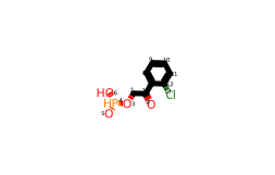 O=C(CO[PH](=O)O)c1ccccc1Cl